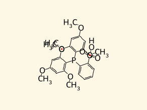 COc1cc(OC)c(P(c2ccccc2S(=O)(=O)O)c2c(OC)cc(OC)cc2OC)c(OC)c1